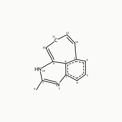 CC1=Nc2cccc3c2C(=CCC=C3)N1